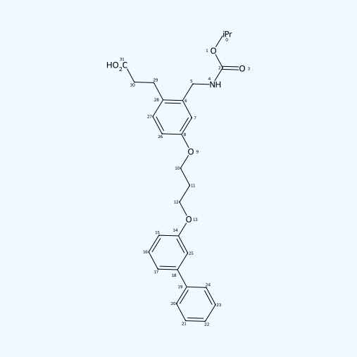 CC(C)OC(=O)NCc1cc(OCCCOc2cccc(-c3ccccc3)c2)ccc1CCC(=O)O